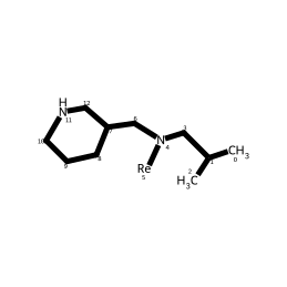 CC(C)C[N]([Re])CC1CCCNC1